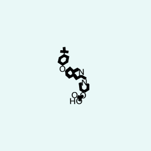 CC(C)(C)[C@H]1CC[C@H](Oc2ccc3cc(CN4CCC(OC(=O)O)CC4)ncc3c2)CC1